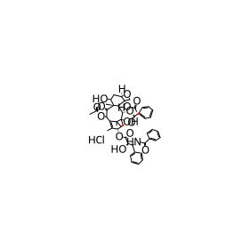 CC(=O)O[C@H]1C(=O)[C@@]2(C)[C@H]([C@H](OC(=O)c3ccccc3)[C@]3(O)C[C@H](OC(=O)[C@H](O)[C@@H](NC(=O)c4ccccc4)c4ccccc4)C(C)=C1C3(C)C)[C@]1(OC(C)=O)CO[C@@H]1C[C@@H]2O.Cl